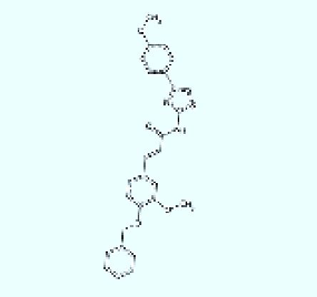 COc1ccc(-c2csc(NC(=O)C=Cc3ccc(OCc4ccccc4)c(OC)c3)n2)cc1